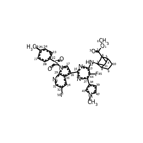 COC(=O)C1C2CCC(CC2)C1Nc1nc(-c2cn(S(=O)(=O)c3ccc(C)cc3)c3ncc(F)cc23)nc(-c2ccn(C)c2)c1F